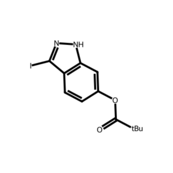 CC(C)(C)C(=O)Oc1ccc2c(I)n[nH]c2c1